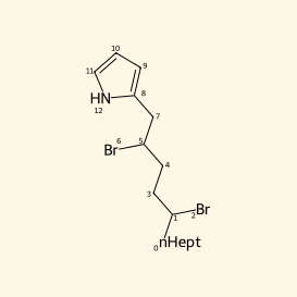 CCCCCCCC(Br)CCC(Br)Cc1ccc[nH]1